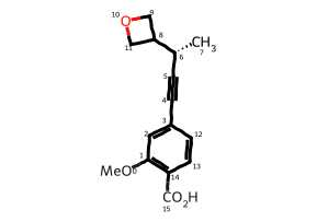 COc1cc(C#C[C@@H](C)C2COC2)ccc1C(=O)O